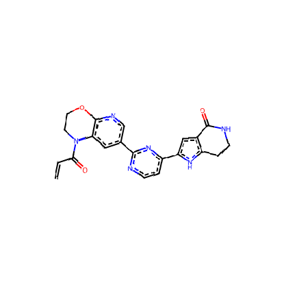 C=CC(=O)N1CCOc2ncc(-c3nccc(-c4cc5c([nH]4)CCNC5=O)n3)cc21